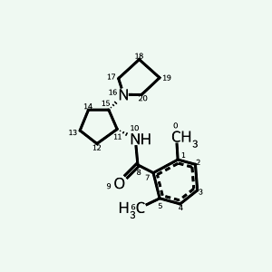 Cc1cccc(C)c1C(=O)N[C@@H]1CCC[C@@H]1N1CCCC1